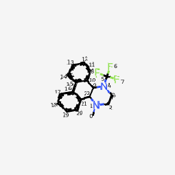 CN1CCN(C(F)(F)F)C2c3ccccc3-c3ccccc3C21